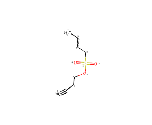 C#CCCOS(=O)(=O)CC=CC